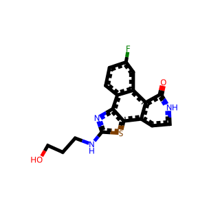 O=c1[nH]ccc2c3sc(NCCCO)nc3c3ccc(F)cc3c12